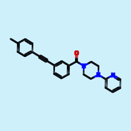 Cc1ccc(C#Cc2cccc(C(=O)N3CCN(c4ccccn4)CC3)c2)cc1